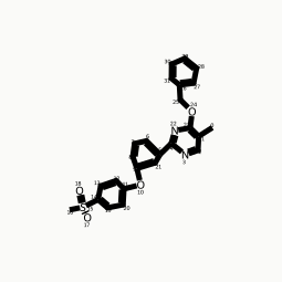 Cc1cnc(-c2c[c]cc(Oc3ccc(S(C)(=O)=O)cc3)c2)nc1OCc1ccccc1